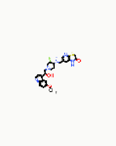 COc1ccc2nccc(C(O)CN3CC[C@H](NCc4cnc5c(c4)NC(=O)CS5)[C@H](F)C3)c2c1